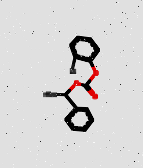 CCCCCCC(OC(=O)Oc1ccccc1CC)c1ccccc1